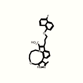 Cc1n[nH]c2c1-c1cccc3c(CCCOc4cccc5c(F)cccc45)c(C(=O)O)n(c13)CCCCOC2